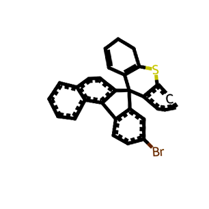 Brc1ccc2c(c1)C1(C3=C(CCC=C3)Sc3ccccc31)c1ccc3ccccc3c1-2